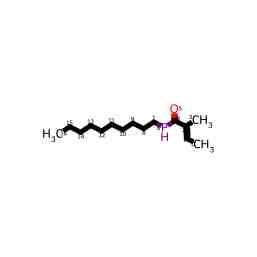 C/C=C(\C)C(=O)PCCCCCCCCCC